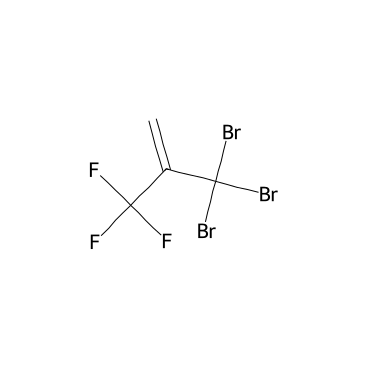 C=C(C(F)(F)F)C(Br)(Br)Br